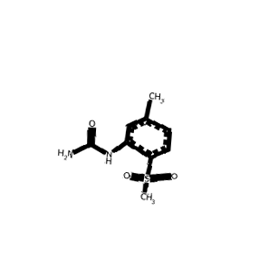 Cc1ccc(S(C)(=O)=O)c(NC(N)=O)c1